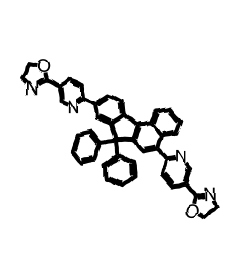 c1ccc(C2(c3ccccc3)c3cc(-c4ccc(C5=NCCO5)cn4)ccc3-c3c2cc(-c2ccc(C4=NCCO4)cn2)c2ccccc32)cc1